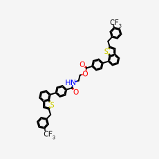 O=C(NCCOC(=O)c1ccc(-c2cccc3cc(Cc4cccc(C(F)(F)F)c4)sc23)cc1)c1ccc(-c2cccc3cc(Cc4cccc(C(F)(F)F)c4)sc23)cc1